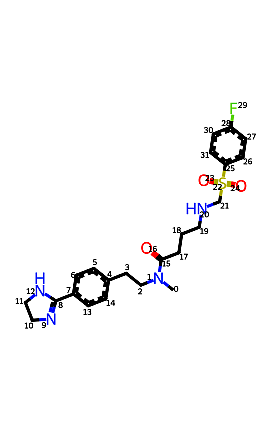 CN(CCc1ccc(C2=NCCN2)cc1)C(=O)CCCNCS(=O)(=O)c1ccc(F)cc1